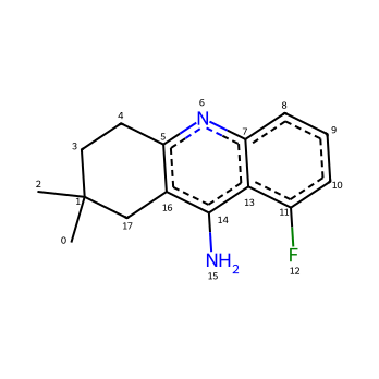 CC1(C)CCc2nc3cccc(F)c3c(N)c2C1